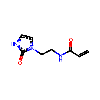 C=CC(=O)NCCn1cc[nH]c1=O